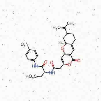 C=C(C)[C@H]1CCC2=Cc3c(cc(CC(=O)N[C@@H](CC(=O)O)C(=O)Nc4ccc([N+](=O)[O-])cc4)oc3=O)O[C@H]2C1